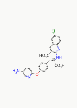 Nc1ccc(Oc2ccc(C[C@H](Nc3nc4ccc(Cl)cc4cc3C(=O)O)C(=O)O)cc2)nc1